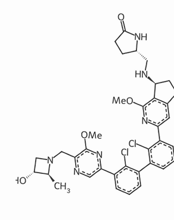 COc1nc(-c2cccc(-c3cccc(-c4cc5c(c(OC)n4)[C@@H](NC[C@@H]4CCC(=O)N4)CC5)c3Cl)c2Cl)cnc1CN1C[C@@H](O)[C@@H]1C